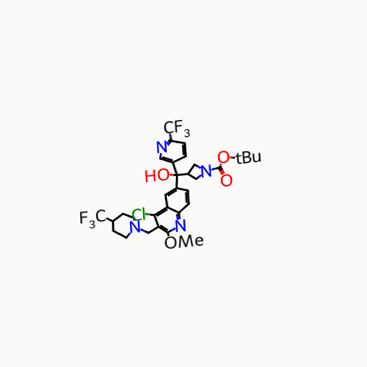 COc1nc2ccc(C(O)(c3ccc(C(F)(F)F)nc3)C3CN(C(=O)OC(C)(C)C)C3)cc2c(Cl)c1CN1CCC(C(F)(F)F)CC1